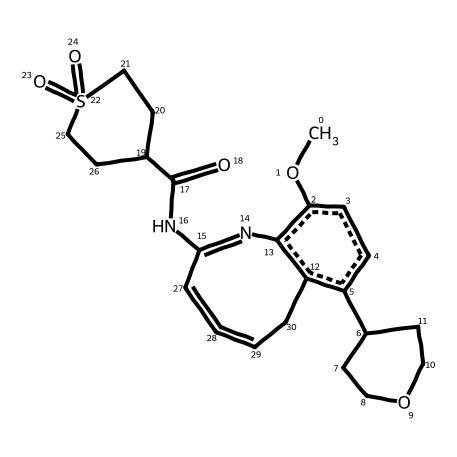 COc1ccc(C2CCOCC2)c2c1/N=C(/NC(=O)C1CCS(=O)(=O)CC1)C=C=CC2